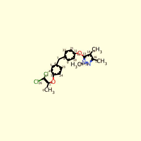 CC(Oc1ccc(Cc2ccc(Oc3c(C)c(C)nn3C)cc2)cc1)=C(Cl)Cl